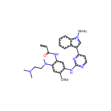 C=CC(=O)Nc1cc(Nc2nccc(-c3cn(NC(C)=O)c4ccccc34)n2)c(OC)cc1N(C)CCN(C)C